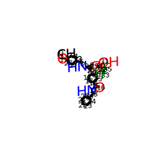 COc1ccc(CN[C@@H]2C[C@H]2c2ccc(C(=O)NCc3ccccc3)cc2)cc1.O=C(O)C(F)(F)F